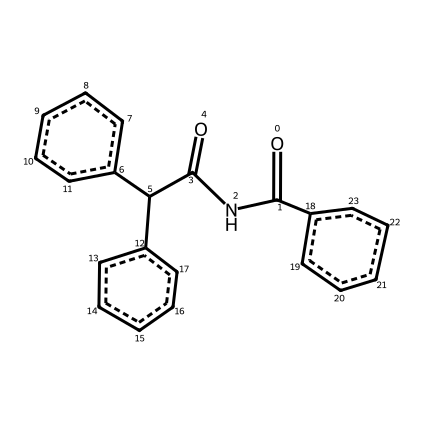 O=C(NC(=O)C(c1ccccc1)c1ccccc1)c1ccccc1